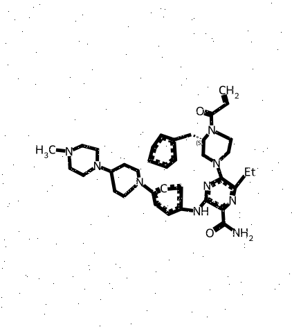 C=CC(=O)N1CCN(c2nc(Nc3ccc(N4CCC(N5CCN(C)CC5)CC4)cc3)c(C(N)=O)nc2CC)C[C@@H]1Cc1ccccc1